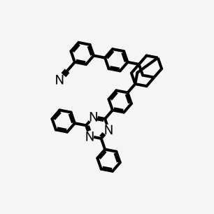 N#Cc1cccc(-c2ccc(C34CC5CC(C3)CC(c3ccc(-c6nc(-c7ccccc7)nc(-c7ccccc7)n6)cc3)(C5)C4)cc2)c1